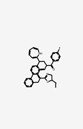 CCC1CN=C(C2=c3c(ccc4c3=CC(C(=O)c3ccc(F)cc3)CC4C3=CC=CC=CN3)-c3ccccc3C2)O1